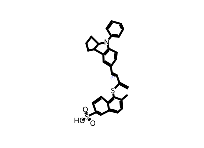 C=C(/C=C/c1ccc2c(c1)C1CCCC1N2c1ccccc1)Sc1c(C)ccc2cc(S(=O)(=O)O)ccc12